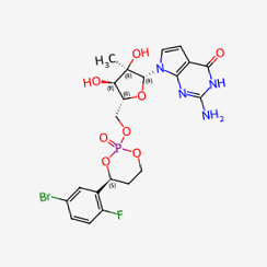 C[C@@]1(O)[C@H](O)[C@@H](COP2(=O)OCC[C@@H](c3cc(Br)ccc3F)O2)O[C@H]1n1ccc2c(=O)[nH]c(N)nc21